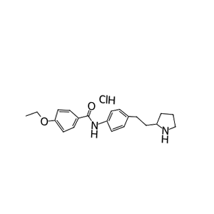 CCOc1ccc(C(=O)Nc2ccc(CCC3CCCN3)cc2)cc1.Cl